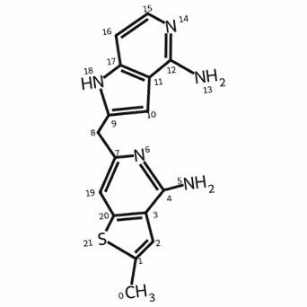 Cc1cc2c(N)nc(Cc3cc4c(N)nccc4[nH]3)cc2s1